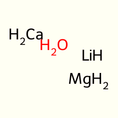 O.[CaH2].[LiH].[MgH2]